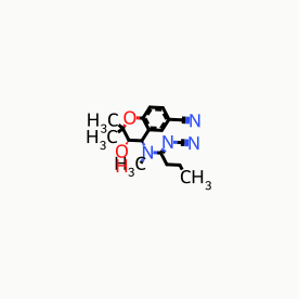 CCCC(=NC#N)N(C)[C@@H]1c2cc(C#N)ccc2OC(C)(C)[C@H]1O